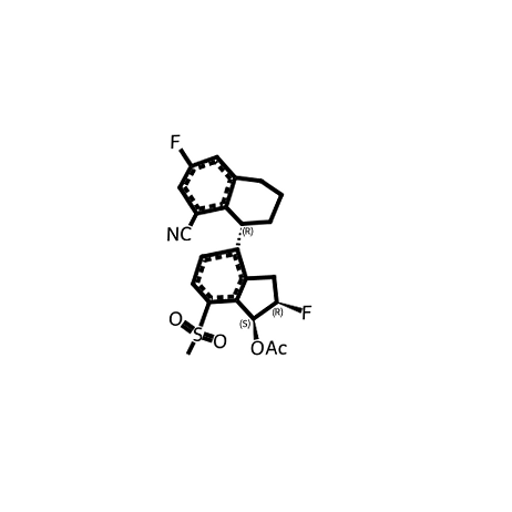 CC(=O)O[C@H]1c2c(S(C)(=O)=O)ccc([C@H]3CCCc4cc(F)cc(C#N)c43)c2C[C@H]1F